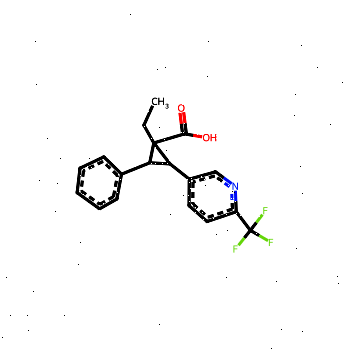 CCC1(C(=O)O)C(c2ccccc2)C1c1ccc(C(F)(F)F)nc1